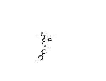 CCC1(n2c(C(=O)N(C)C)cc3cnc(Nc4ccc(C5=CCN(C(C)C)CC5)cn4)nc32)CC[C@H]1C